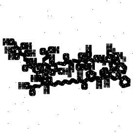 CC(=O)[C@@H](CCC(=O)NC[C@H](O)[C@@H](O)[C@H](O)[C@H](O)CO)NC(=O)[C@@H](CCC(=O)O)NC(=O)[C@@H](CCC(=O)NC[C@H](O)[C@@H](O)[C@H](O)[C@H](O)CO)NC(=O)[C@@H](CCC(=O)O)NC(=O)CCCCCCCNC(=O)c1cccc(NC(=O)N[C@@H]2CN(C3CCCCC3)c3ccccc3N(CC(=O)C(C)(C)C)C2=O)c1